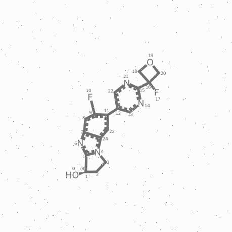 O[C@@H]1CCn2c1nc1cc(F)c(-c3cnc(C4(F)COC4)nc3)cc12